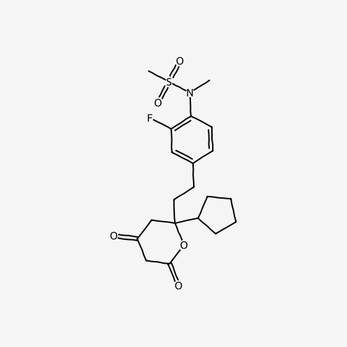 CN(c1ccc(CCC2(C3CCCC3)CC(=O)CC(=O)O2)cc1F)S(C)(=O)=O